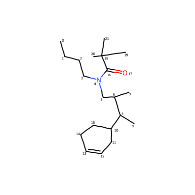 CCCCN(CC(C)C(C)C1CC=CCC1)C(=O)C(C)(C)C